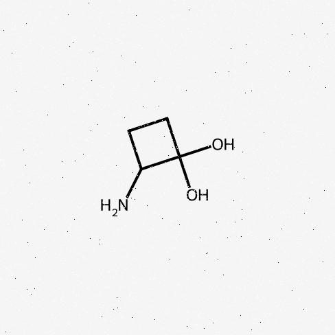 NC1CCC1(O)O